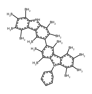 Bc1c(B)c(B)c2c([nH]c3c(B)c(B)c(-c4c(B)c(B)c5c(c4B)c4c(B)c(B)c(B)c(B)c4n5-c4ccccc4)c(B)c32)c1B